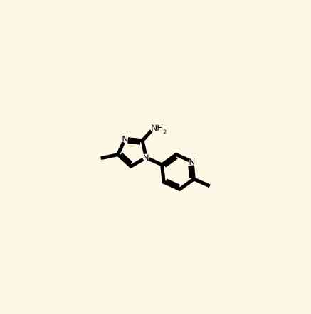 Cc1ccc(-n2cc(C)nc2N)cn1